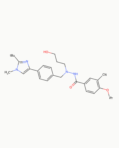 CC(C)Oc1ccc(C(=O)NN(CCCO)Cc2ccc(-c3cn(C)c(C(C)(C)C)n3)cc2)cc1C#N